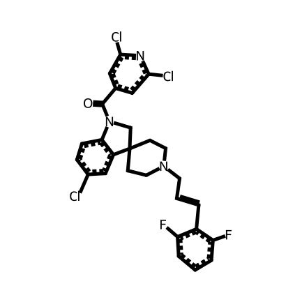 O=C(c1cc(Cl)nc(Cl)c1)N1CC2(CCN(C/C=C/c3c(F)cccc3F)CC2)c2cc(Cl)ccc21